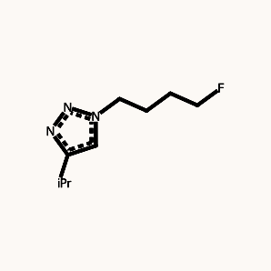 CC(C)c1cn(CCCCF)nn1